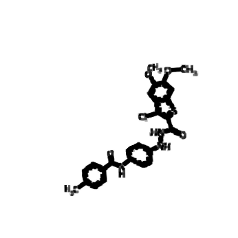 COc1cc2sc(C(=O)NNc3ccc(NC(=O)c4ccc(C)cc4)cc3)c(Cl)c2cc1OC